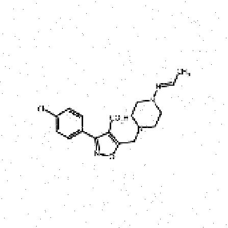 C/C=N/N1CCN(Cc2onc(-c3ccc(Cl)cc3)c2C(=O)O)CC1